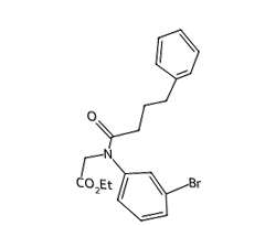 CCOC(=O)CN(C(=O)CCCc1ccccc1)c1cccc(Br)c1